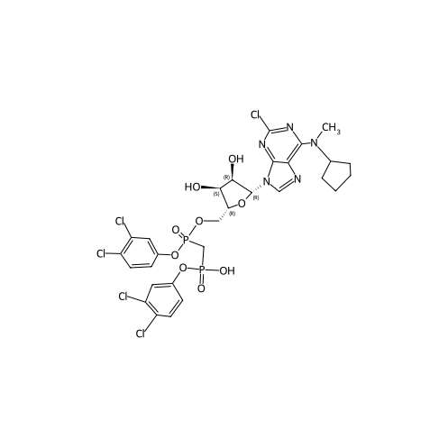 CN(c1nc(Cl)nc2c1ncn2[C@@H]1O[C@H](COP(=O)(CP(=O)(O)Oc2ccc(Cl)c(Cl)c2)Oc2ccc(Cl)c(Cl)c2)[C@@H](O)[C@H]1O)C1CCCC1